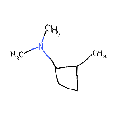 CC1CCC1N(C)C